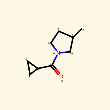 CC1CCN(C(=O)C2CC2)C1